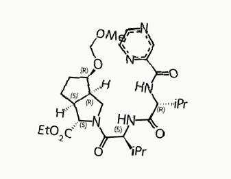 CCOC(=O)[C@@H]1[C@H]2CC[C@@H](OCOC)[C@H]2CN1C(=O)[C@@H](NC(=O)[C@H](NC(=O)c1cnccn1)C(C)C)C(C)C